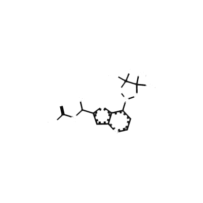 CC(=O)NC(C)c1cc2nccc(B3OC(C)(C)C(C)(C)O3)c2s1